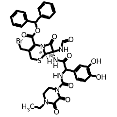 CCN1CCN(C(=O)NC(C(=O)N[C@@]2(NC=O)C(=O)N3C(C(=O)OC(c4ccccc4)c4ccccc4)=C(CBr)CS[C@@H]32)c2ccc(O)c(O)c2)C(=O)C1=O